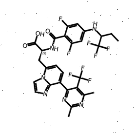 CCC(Nc1cc(F)c(C(=O)N[C@@H](Cc2ccc(-c3nc(C)nc(C)c3C(F)(F)F)c3nccn23)C(=O)O)c(F)c1)C(F)(F)F